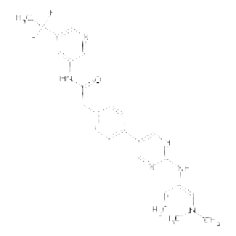 C=C/C(=C\N(C)C)Nc1ncc(-c2ccc(CC(=O)Nc3cncc(C(C)(F)F)c3)cc2)cn1